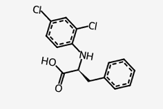 O=C(O)[C@H](Cc1ccccc1)Nc1ccc(Cl)cc1Cl